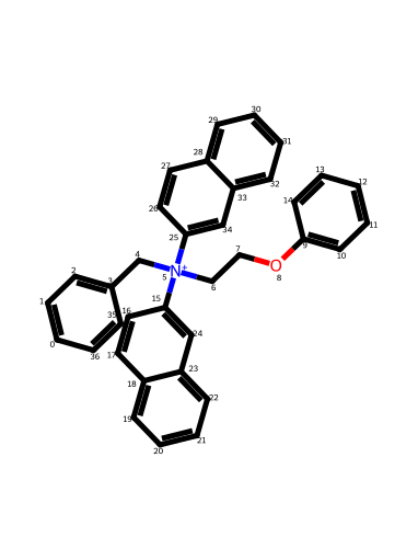 c1ccc(C[N+](CCOc2ccccc2)(c2ccc3ccccc3c2)c2ccc3ccccc3c2)cc1